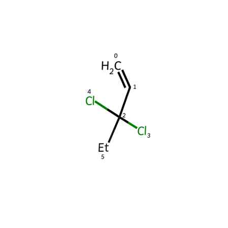 C=CC(Cl)(Cl)CC